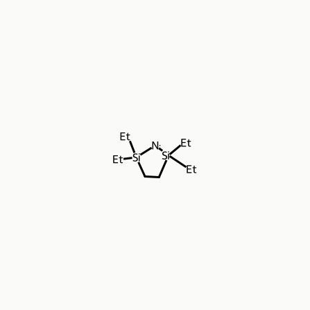 CC[Si]1(CC)CC[Si](CC)(CC)[N]1